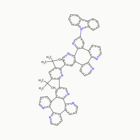 CC(C)(C)c1cc(C(C)(C)C)c(-c2cnc3c(c2)-c2cccnc2-c2ncccc2-c2cc(-n4c5ccccc5c5ccccc54)cnc2-3)nc1-c1cnc2c(c1)-c1cccnc1-c1ncccc1-c1cccnc1-2